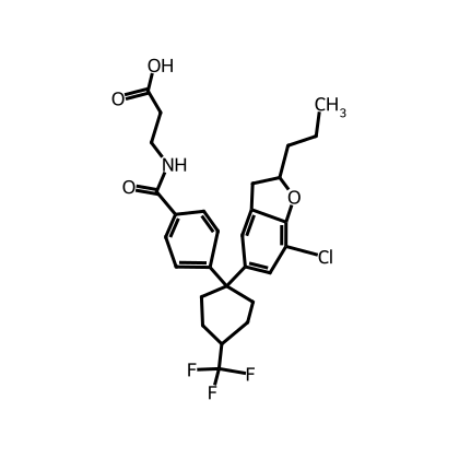 CCCC1Cc2cc(C3(c4ccc(C(=O)NCCC(=O)O)cc4)CCC(C(F)(F)F)CC3)cc(Cl)c2O1